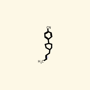 C/C=C/CC1CCC(c2ccc(C#N)cc2)CC1